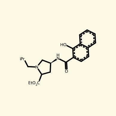 CCOC(=O)C1C[C@H](NC(=O)c2ccc3ccccc3c2O)CN1CC(C)C